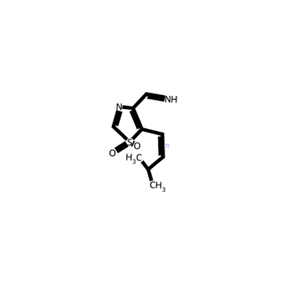 CC(C)/C=C\C1=C(C=N)N=CS1(=O)=O